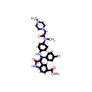 CCc1ccc(/C(Nc2ccc(N(C)C(=O)CN3CCN(C)CC3)cc2)=C2/C(=O)Nc3ccc(C(=O)OC)cc32)cc1